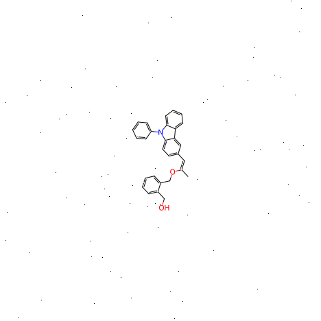 CC(=Cc1ccc2c(c1)c1ccccc1n2-c1ccccc1)OCc1ccccc1CO